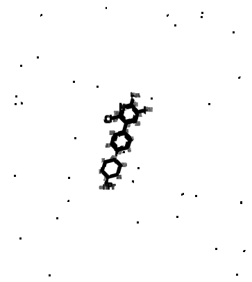 CCC[C@H]1CC[C@H](c2ccc(-c3cc(F)c(F)nc3Cl)cc2)CC1